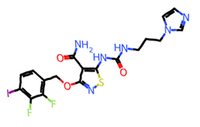 NC(=O)c1c(OCc2ccc(I)c(F)c2F)nsc1NC(=O)NCCCn1ccnc1